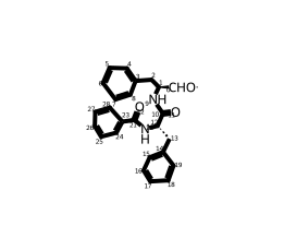 O=[C][C@H](Cc1ccccc1)NC(=O)[C@H](Cc1ccccc1)NC(=O)c1ccccc1